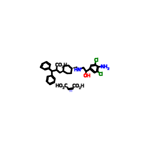 Nc1c(Cl)cc(C(O)CNC[C@H]2CC[C@H](CC(C(=O)O)C(c3ccccc3)c3ccccc3)CC2)cc1Cl.O=C(O)/C=C\C(=O)O